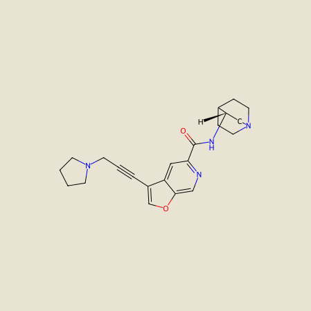 O=C(N[C@H]1CN2CCC1CC2)c1cc2c(C#CCN3CCCC3)coc2cn1